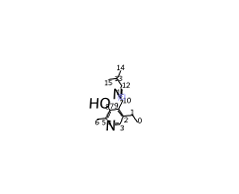 CCc1cnc(C)c(O)c1/C=N/CC(C)C